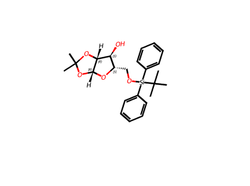 CC1(C)O[C@H]2O[C@@H](CO[Si](c3ccccc3)(c3ccccc3)C(C)(C)C)[C@H](O)[C@H]2O1